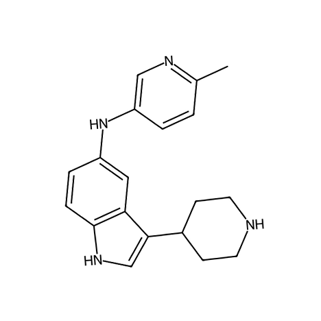 Cc1ccc(Nc2ccc3[nH]cc(C4CCNCC4)c3c2)cn1